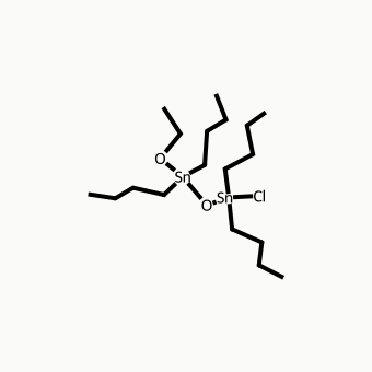 CCC[CH2][Sn]([Cl])([CH2]CCC)[O][Sn]([CH2]CCC)([CH2]CCC)[O]CC